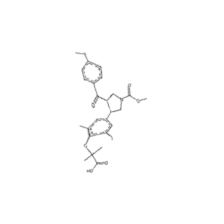 COC(=O)N1CC(C(=O)c2ccc(SC)cc2)C(c2cc(C)c(OC(C)(C)C(=O)O)c(C)c2)C1